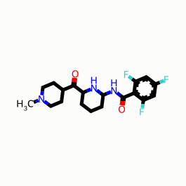 CN1CCC(C(=O)C2CCCC(NC(=O)c3c(F)cc(F)cc3F)N2)CC1